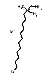 C[N+](C)(CN)CCCCCCCCCCCCS.[Br-]